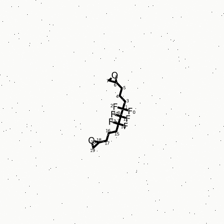 FC(F)(CCCC1CO1)C(F)(F)C(F)(F)CCCC1CO1